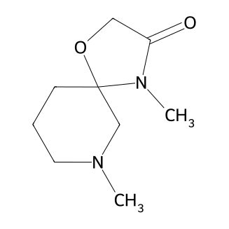 CN1CCCC2(C1)OCC(=O)N2C